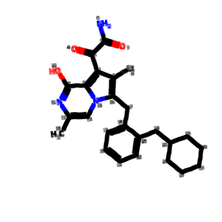 CCc1c(C(=O)C(N)=O)c2c(O)nc(C)cn2c1Cc1ccccc1CC1CCCCC1